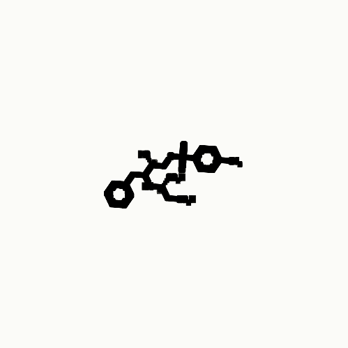 Cc1ccc(S(=O)(=O)OC[C@@H](O)C(Cc2ccccc2)N[C@@H](CC(=O)O)C(=O)O)cc1